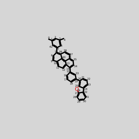 Cc1cc(C)cc(-c2ccc3ccc4c(-c5cccc(-c6cccc7c6oc6ccccc67)c5)ccc5ccc2c3c54)c1